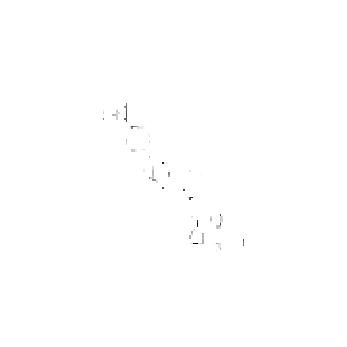 COC(CNC(=O)c1cc(-c2ccc([N+](=O)[O-])cc2)n[nH]1)OC